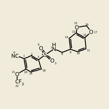 N#Cc1cc(S(=O)(=O)NCc2ccc3c(c2)OCO3)ccc1OC(F)(F)F